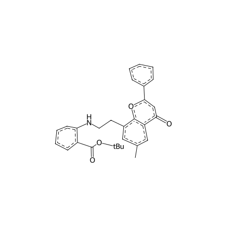 Cc1cc(CCNc2ccccc2C(=O)OC(C)(C)C)c2oc(-c3ccccc3)cc(=O)c2c1